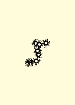 CC1(C)OB(c2cccc(-c3ccc4cc(-c5cc(-c6ccccc6)cc6ccccc56)ccc4c3)c2)OC1(C)C